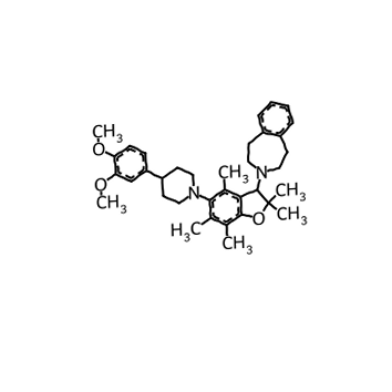 COc1ccc(C2CCN(c3c(C)c(C)c4c(c3C)C(N3CCc5ccccc5CC3)C(C)(C)O4)CC2)cc1OC